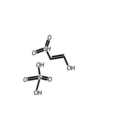 O=S(=O)(O)O.O=[SH](=O)C=CO